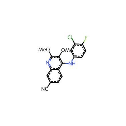 COc1nc2cc(C#N)ccc2c(Nc2ccc(F)c(Cl)c2)c1OC